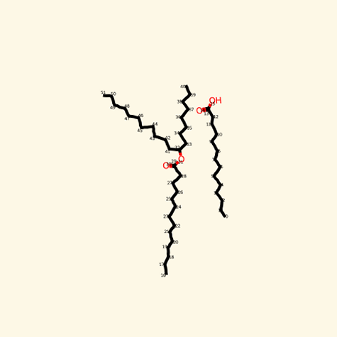 CCCCCCCCCCCCCC(=O)O.CCCCCCCCCCCCCC(=O)OC(CCCCCCCC)CCCCCCCCCCC